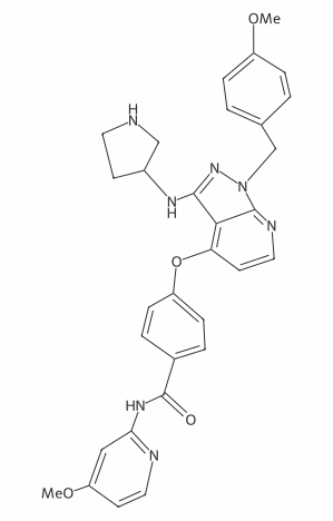 COc1ccc(Cn2nc(NC3CCNC3)c3c(Oc4ccc(C(=O)Nc5cc(OC)ccn5)cc4)ccnc32)cc1